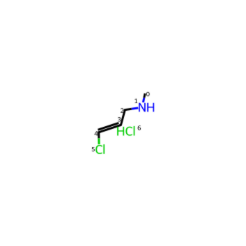 CNCC=CCl.Cl